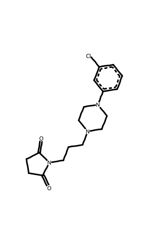 O=C1CCC(=O)N1CCCN1CCN(c2cccc(Cl)c2)CC1